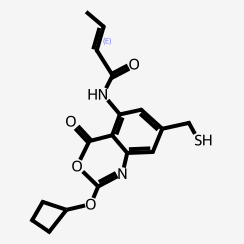 C/C=C/C(=O)Nc1cc(CS)cc2nc(OC3CCC3)oc(=O)c12